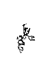 c1cc(Oc2cn(C3CC3)nc2C2CCOCC2)c2ccc(N3CCOCC3)cc2n1